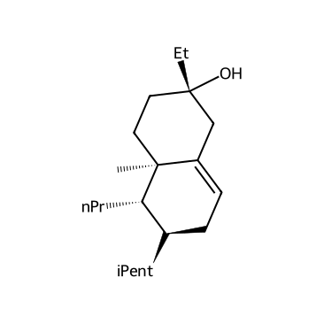 CCC[C@H](C)[C@@H]1CC=C2C[C@](O)(CC)CC[C@]2(C)[C@H]1CCC